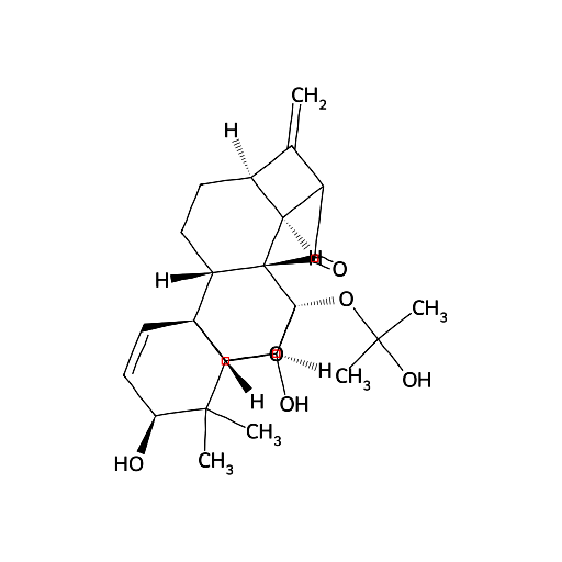 C=C1C2C(=O)[C@]34[C@H]2[C@H]1CC[C@H]3[C@]12C=C[C@H](O)C(C)(C)[C@H]1[C@H](O)[C@@]4(OC(C)(C)O)OC2